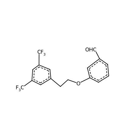 O=Cc1cccc(OCCc2cc(C(F)(F)F)cc(C(F)(F)F)c2)c1